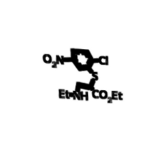 CCNC=C(Sc1cc([N+](=O)[O-])ccc1Cl)C(=O)OCC